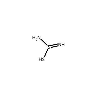 N=S(N)S